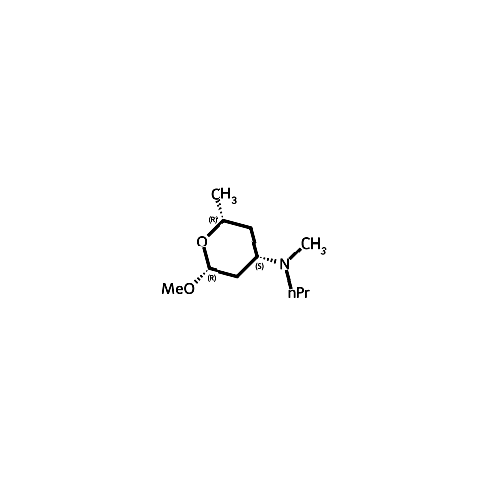 CCCN(C)[C@@H]1C[C@H](OC)O[C@H](C)C1